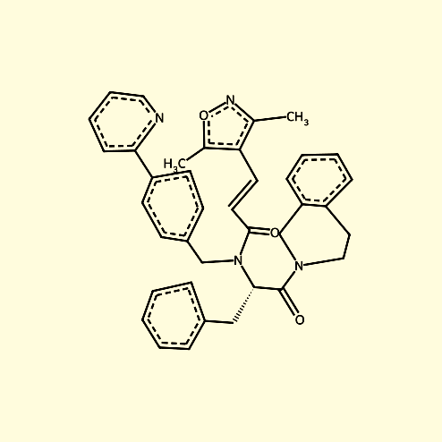 Cc1noc(C)c1/C=C/C(=O)N(Cc1ccc(-c2ccccn2)cc1)[C@@H](Cc1ccccc1)C(=O)N1CCc2ccccc2C1